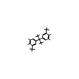 Nc1cc(C(c2cc(N)c(O)c(C(F)(F)F)c2)(C(F)(F)F)C(F)(F)F)cc(C(F)(F)F)c1O